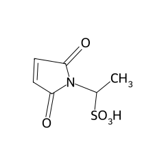 CC(N1C(=O)C=CC1=O)S(=O)(=O)O